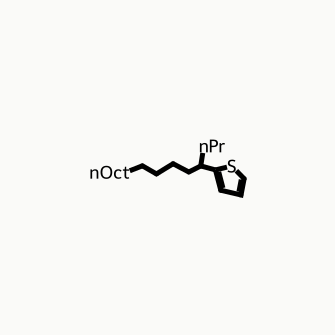 [CH2]CCC(CCCCCCCCCCCC)c1cccs1